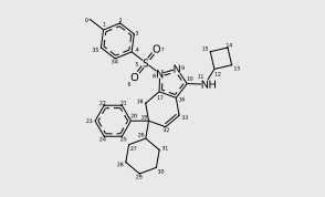 Cc1ccc(S(=O)(=O)n2nc(NC3CCC3)c3c2CC(c2ccccc2)(C2CCCCC2)C=C3)cc1